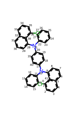 Clc1cccc2cccc(N(c3ccccc3)c3ccc(N(c4ccccc4)c4cccc5cccc(Cl)c45)cc3)c12